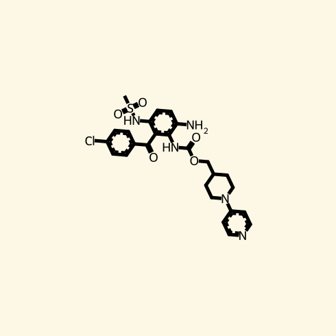 CS(=O)(=O)Nc1ccc(N)c(NC(=O)OCC2CCN(c3ccncc3)CC2)c1C(=O)c1ccc(Cl)cc1